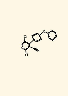 N#Cc1c(Cl)ncc(Cl)c1-c1ccc(Oc2ccccc2)cc1